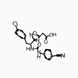 N#Cc1ccc(NC(=O)NC(Cc2ccc(Cl)cc2)c2noc(CC(=O)O)n2)cc1